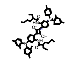 CCCCC(CC)C(=O)NC1=CC(=[N+](\c2ccc(C)cc2)c2ccc(C)cc2C)/C=CC/1=C1/C([O-])=C(c2ccc(N(c3ccc(C)cc3C)c3ccc(C)cc3C)cc2NC(=O)C(CC)CCCC)C1O